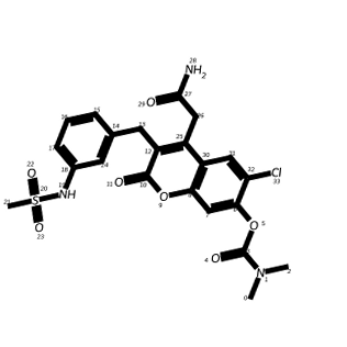 CN(C)C(=O)Oc1cc2oc(=O)c(Cc3cccc(NS(C)(=O)=O)c3)c(CC(N)=O)c2cc1Cl